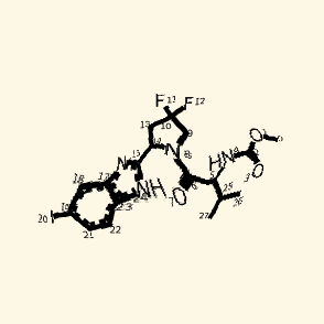 COC(=O)N[C@H](C(=O)N1CC(F)(F)CC1c1nc2cc(I)ccc2[nH]1)C(C)C